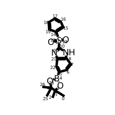 CC1(C)OB(c2ccc3[nH]c(S(=O)(=O)c4ccccc4)nc3c2)OC1(C)C